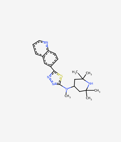 CN(c1nnc(-c2ccc3ncccc3c2)s1)C1CC(C)(C)NC(C)(C)C1